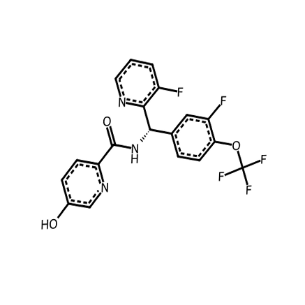 O=C(N[C@@H](c1ccc(OC(F)(F)F)c(F)c1)c1ncccc1F)c1ccc(O)cn1